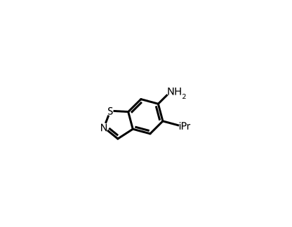 CC(C)c1cc2cnsc2cc1N